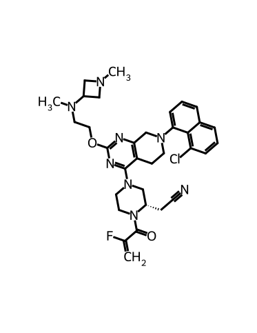 C=C(F)C(=O)N1CCN(c2nc(OCCN(C)C3CN(C)C3)nc3c2CCN(c2cccc4cccc(Cl)c24)C3)C[C@@H]1CC#N